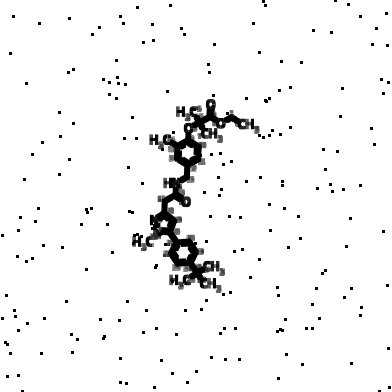 CCOC(=O)C(C)(C)Oc1ccc(CNC(=O)Cc2cc(-c3ccc(C(C)(C)C)cc3)n(C)n2)cc1C